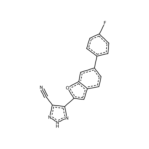 N#Cc1n[nH]nc1-c1cc2ccc(-c3ccc(F)cc3)cc2o1